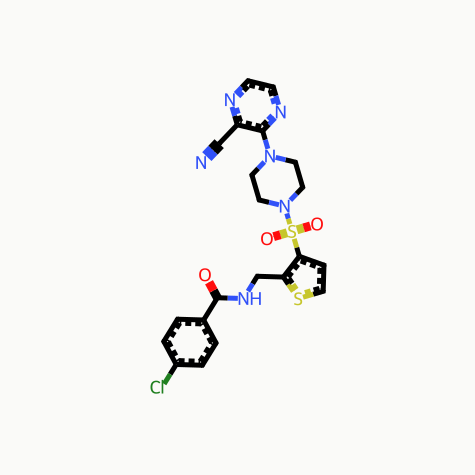 N#Cc1nccnc1N1CCN(S(=O)(=O)c2ccsc2CNC(=O)c2ccc(Cl)cc2)CC1